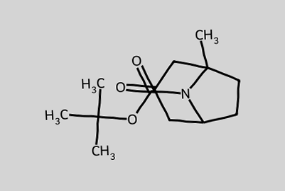 CC(C)(C)OC(=O)N1C2CCC1(C)CC(=O)C2